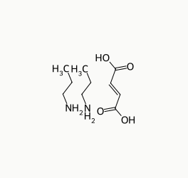 CCCN.CCCN.O=C(O)C=CC(=O)O